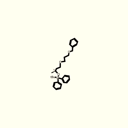 C[C@@H](CCOCCCOCc1ccccc1)O[Si](c1ccccc1)(c1ccccc1)C(C)(C)C